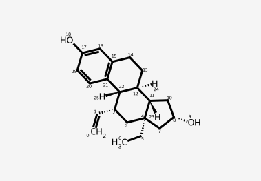 C=C[C@H]1C[C@]2(CC)C[C@@H](O)C[C@H]2[C@@H]2CCc3cc(O)ccc3[C@H]21